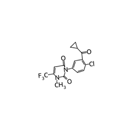 Cn1c(C(F)(F)F)cc(=O)n(-c2ccc(Cl)c(C(=O)C3CC3)c2)c1=O